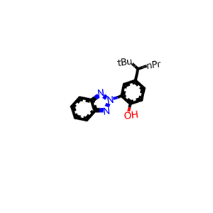 CCCC(c1ccc(O)c(-n2nc3ccccc3n2)c1)C(C)(C)C